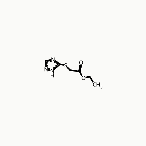 CCOC(=O)CSc1n[c]n[nH]1